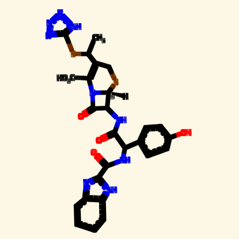 CC(Sc1nnn[nH]1)C1=C(C(=O)O)N2C(=O)C(NC(=O)C(NC(=O)c3nc4ccccc4[nH]3)c3ccc(O)cc3)[C@@H]2SC1